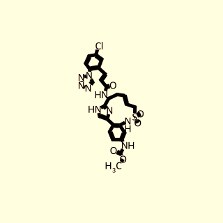 COC(=O)Nc1ccc2c(c1)NS(=O)(=O)C/C=C/C[C@H](NC(=O)/C=C/c1cc(Cl)ccc1-n1cnnn1)c1nc-2c[nH]1